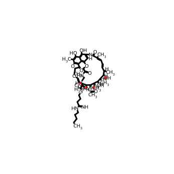 CCCCCNC(=N)CCCSCC(=O)NCNC(=O)COc1cc2c(O)c3c(O)c(C)c4c(c13)C(=O)[C@@](C)(O/C=C/[C@H](OC)[C@@H](C)[C@@H](OC(C)=O)[C@H](C)[C@H](O)[C@H](C)[C@@H](O)[C@@H](C)/C=C/C=C(/C)C(=O)N2)O4